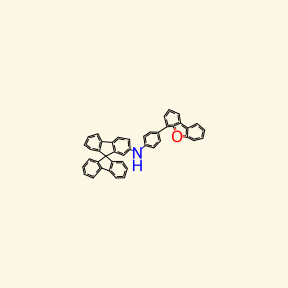 c1ccc2c(c1)-c1ccccc1C21c2ccccc2-c2ccc(Nc3ccc(-c4cccc5c4oc4ccccc45)cc3)cc21